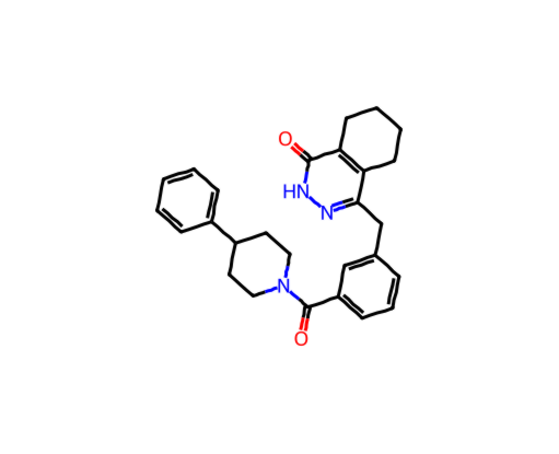 O=C(c1cccc(Cc2n[nH]c(=O)c3c2CCCC3)c1)N1CCC(c2ccccc2)CC1